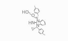 Cc1ccc(C[C@@H](COCCO)n2c(=N)n(C(c3ccc(C)cc3)C3CC3)c3ccccc32)cc1